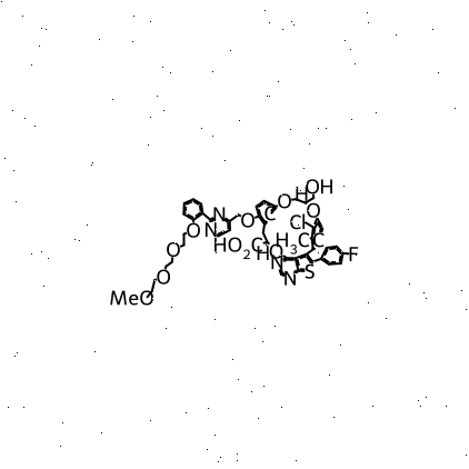 COCCOCCOCCOc1ccccc1-c1nccc(COc2ccc3cc2C[C@H](C(=O)O)Oc2ncnc4sc(-c5ccc(F)cc5)c(c24)-c2ccc(c(Cl)c2C)O[C@H](CO)CO3)n1